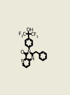 O=c1c2ncccc2nc(Cc2ccccc2)n1-c1ccc(C(O)(C(F)(F)F)C(F)(F)F)cc1